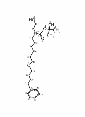 CC(C)(C)OC(=O)N(CCO)CCCCCCOCCCCc1ccccc1